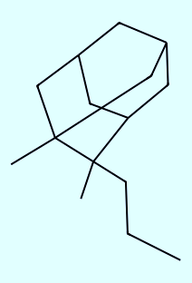 CCCC1(C)C2CC3CC(C2)CC1(C)C3